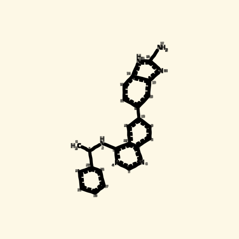 CC(Nc1ncnc2ccc(-c3ccc4[nH]c(N)nc4c3)cc12)c1ccccc1